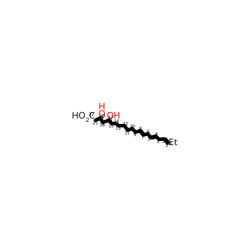 CCC=CCC=CCC=CCCCCCCC[C@@H](O)C[C@@H](O)CC(=O)O